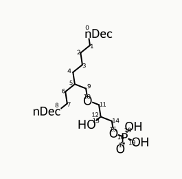 CCCCCCCCCCCCCCC(CCCCCCCCCCCC)COCC(O)COP(=O)(O)O